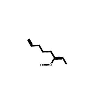 C=CCCC/C(=C/C)OCC